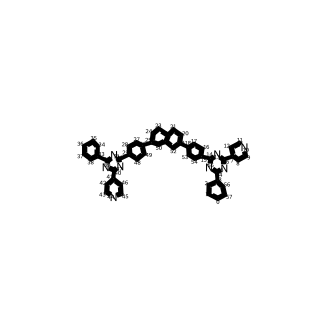 c1ccc(-c2nc(-c3ccncc3)nc(-c3ccc(-c4ccc5ccc(-c6ccc(-c7nc(-c8ccccc8)nc(-c8ccncc8)n7)cc6)cc5c4)cc3)n2)cc1